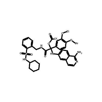 CCOc1cc(C(Nc2ccc3c(N)nccc3c2)(OC(=O)C(F)(F)F)C(=O)NCc2ccccc2S(=O)(=O)NC2CCCCC2)ccc1OC(C)C